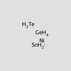 [GeH4].[Ni].[SnH2].[TeH2]